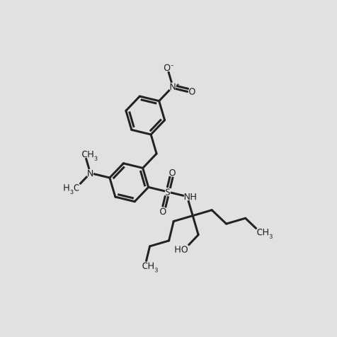 CCCCC(CO)(CCCC)NS(=O)(=O)c1ccc(N(C)C)cc1Cc1cccc([N+](=O)[O-])c1